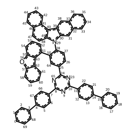 c1ccc(-c2ccc(-c3nc(-c4ccc(-c5ccccc5)cc4)nc(-c4ccc(-n5c6cc7ccccc7cc6c6c7ccccc7ccc65)c(-c5cccc6oc7ccccc7c56)c4)n3)cc2)cc1